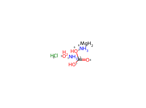 Cl.N.N.O.O=C(O)O.[MgH2]